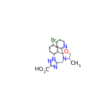 CC1COC2(c3ccccn3)c3cc(Br)ccc3-n3nc(C(=O)O)nc3CN12